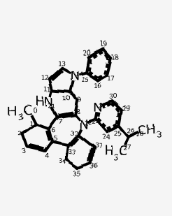 CC1CC=CC2=C1C1=C(CC3C(C=CN3c3ccccc3)N1)N(c1cc(C(C)C)ccn1)C1=C2CCC=C1